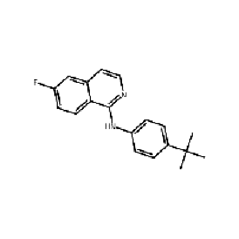 CC(C)(C)c1ccc(Nc2nccc3cc(F)ccc23)cc1